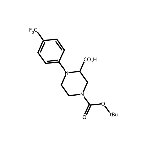 CC(C)(C)OC(=O)N1CCN(c2ccc(C(F)(F)F)cc2)C(C(=O)O)C1